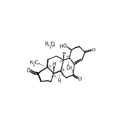 C[C@]12CC[C@H]3[C@@H](CC(=O)C4=CC(=O)CC(O)[C@@]43C)[C@@H]1CCC2=O.O